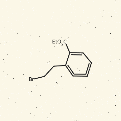 CCOC(=O)C1=CC=C=C=C1CCBr